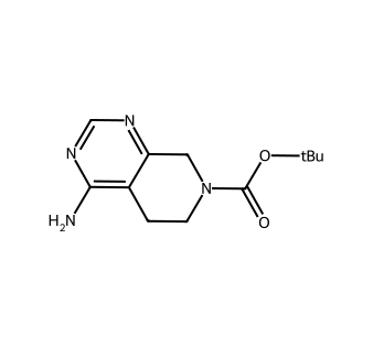 CC(C)(C)OC(=O)N1CCc2c(N)ncnc2C1